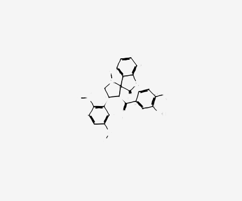 COc1ccc(OC)c([C@H]2CN(C)C3(C(=O)Nc4ccccc43)[C@H]2C(=O)c2ccc(O)c(O)c2)c1